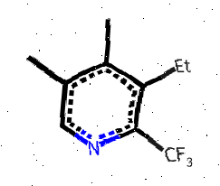 CCc1c(C(F)(F)F)ncc(C)c1C